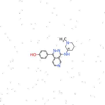 CN1CCC[C@@H](Nc2nnc(-c3ccc(O)cc3)c3ccncc23)C1